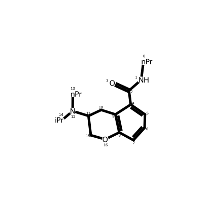 CCCNC(=O)c1cccc2c1CC(N(CCC)C(C)C)CO2